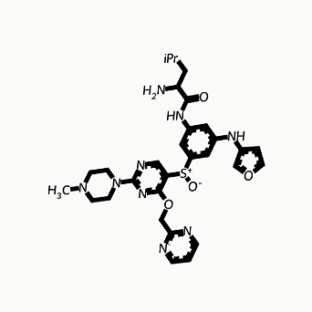 CC(C)CC(N)C(=O)Nc1cc(Nc2ccoc2)cc([S+]([O-])c2cnc(N3CCN(C)CC3)nc2OCc2ncccn2)c1